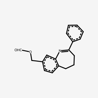 O=COCc1ccc2c(c1)N=C(c1ccccc1)CCC2